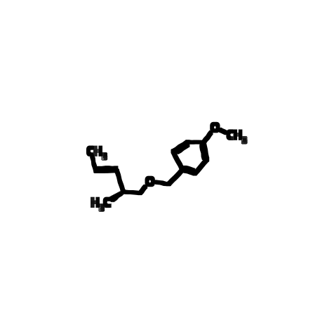 C/C=C/[C@H](C)COCc1ccc(OC)cc1